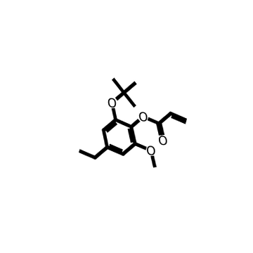 C=CC(=O)Oc1c(OC)cc(CC)cc1OC(C)(C)C